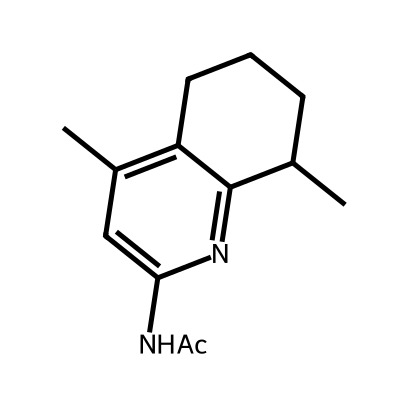 CC(=O)Nc1cc(C)c2c(n1)C(C)CCC2